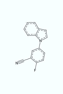 N#Cc1cc(-n2ccc3c[c]ccc32)ccc1F